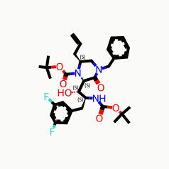 C=CC[C@H]1CN(Cc2ccccc2)C(=O)[C@H]([C@@H](O)[C@H](Cc2cc(F)cc(F)c2)NC(=O)OC(C)(C)C)N1C(=O)OC(C)(C)C